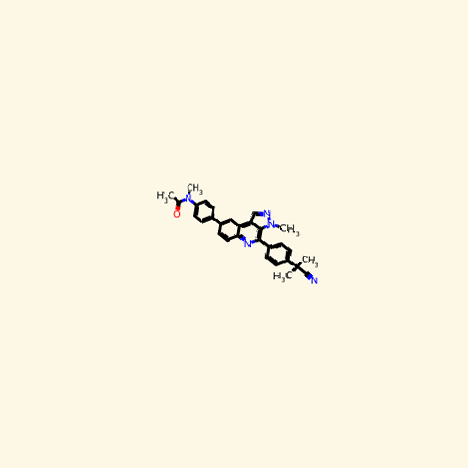 CC(=O)N(C)c1ccc(-c2ccc3nc(-c4ccc(C(C)(C)C#N)cc4)c4c(cnn4C)c3c2)cc1